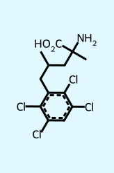 CC(Cc1c(Cl)c(Cl)cc(Cl)c1Cl)CC(C)(N)C(=O)O